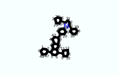 c1ccc(-c2ccc(-c3ccccc3)c3cc4cc(-c5ccc(-n6c(-c7ccccc7)ccc6-c6ccccc6)cc5)ccc4cc23)cc1